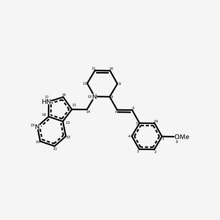 COc1cccc(C=CC2CC=CCN2Cc2c[nH]c3ncccc23)c1